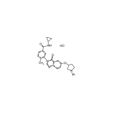 Cc1ccc(C(=O)NC2CC2)cc1-n1cnc2ccc(OC3CCN(C(C)C)C3)cc2c1=O.Cl